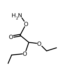 CCOC(OCC)C(=O)ON